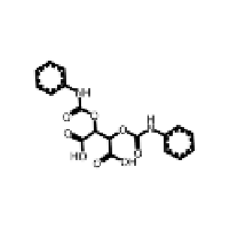 O=C(Nc1ccccc1)OC(C(=O)O)C(OC(=O)Nc1ccccc1)C(=O)O